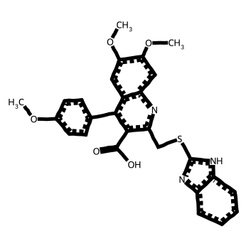 COc1ccc(-c2c(C(=O)O)c(CSc3nc4ccccc4[nH]3)nc3cc(OC)c(OC)cc23)cc1